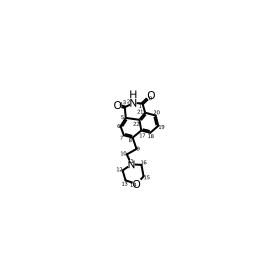 O=C1NC(=O)c2ccc(CCN3CCOCC3)c3cccc1c23